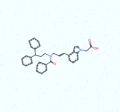 O=C(O)Cn1ccc2c(/C=C/CN(CCC(c3ccccc3)c3ccccc3)C(=O)c3ccccc3)cccc21